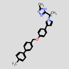 Cc1nnc([C@H](C)n2ccc(-c3ccc(OCc4ccc(-c5ccc(C(F)(F)F)cc5)cc4)cc3)c2)[nH]1